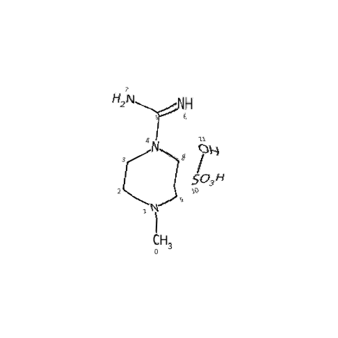 CN1CCN(C(=N)N)CC1.O=S(=O)(O)O